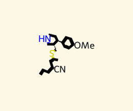 C=C/C=C(C#N)\C=C(/C)SC[C@@H]1CNCC[C@H]1c1ccc(OC)cc1